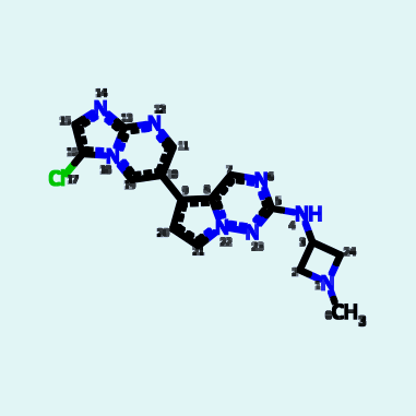 CN1CC(Nc2ncc3c(-c4cnc5ncc(Cl)n5c4)ccn3n2)C1